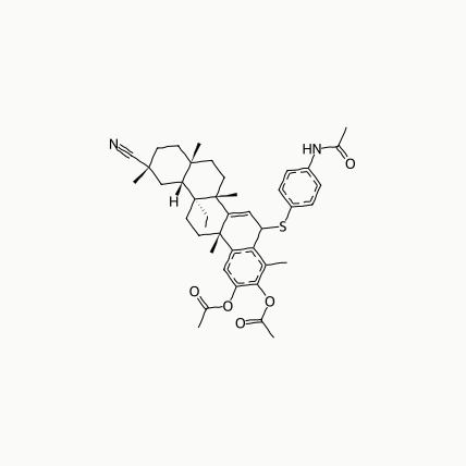 CC[C@@]12CC[C@]3(C)C(=CC(Sc4ccc(NC(C)=O)cc4)c4c3cc(OC(C)=O)c(OC(C)=O)c4C)[C@@]1(C)CC[C@@]1(C)CC[C@@](C)(C#N)C[C@H]12